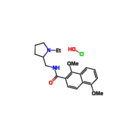 CCN1CCCC1CNC(=O)c1ccc2c(OC)cccc2c1OC.OCl